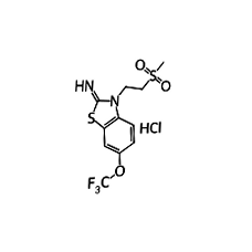 CS(=O)(=O)CCn1c(=N)sc2cc(OC(F)(F)F)ccc21.Cl